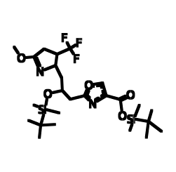 COC1=NC(CC(Cc2nc(C(=O)O[Si](C)(C)C(C)(C)C)co2)O[Si](C)(C)C(C)(C)C)C(C(F)(F)F)C1